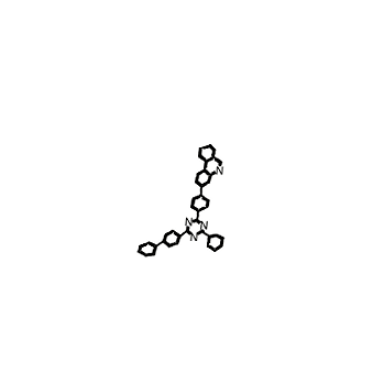 c1ccc(-c2ccc(-c3nc(-c4ccccc4)nc(-c4ccc(-c5ccc6c(c5)ncc5ccccc56)cc4)n3)cc2)cc1